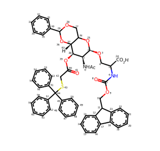 CC(=O)N[C@@H]1[C@H](OCC(NC(=O)OCC2c3ccccc3-c3ccccc32)C(=O)O)OC2COC(c3ccccc3)O[C@H]2[C@@H]1OC(=O)CSC(c1ccccc1)(c1ccccc1)c1ccccc1